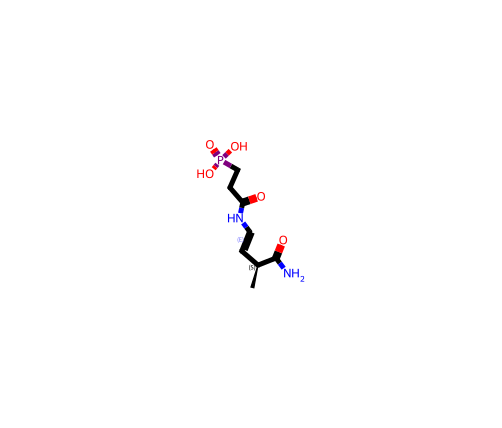 C[C@@H](/C=C/NC(=O)CCP(=O)(O)O)C(N)=O